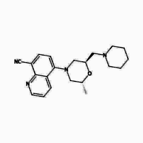 C[C@@H]1CN(c2ccc(C#N)c3ncccc23)C[C@@H](CN2CCCCC2)O1